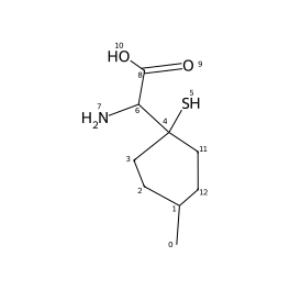 CC1CCC(S)(C(N)C(=O)O)CC1